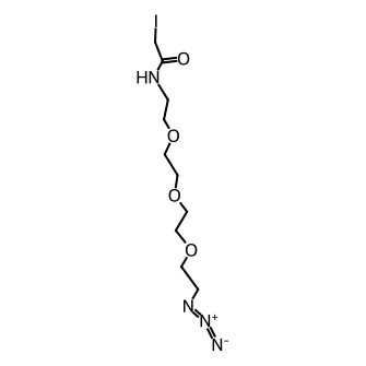 [N-]=[N+]=NCCOCCOCCOCCNC(=O)CI